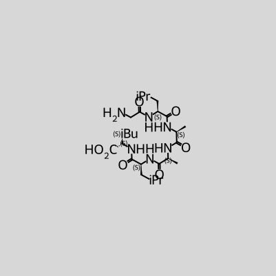 CC[C@H](C)[C@H](NC(=O)[C@H](CC(C)C)NC(=O)[C@H](C)NC(=O)[C@H](C)NC(=O)[C@H](CC(C)C)NC(=O)CN)C(=O)O